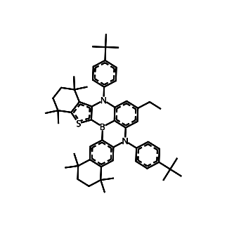 CCc1cc2c3c(c1)N(c1ccc(C(C)(C)C)cc1)c1c(sc4c1C(C)(C)CCC4(C)C)B3c1cc3c(cc1N2c1ccc(C(C)(C)C)cc1)C(C)(C)CCC3(C)C